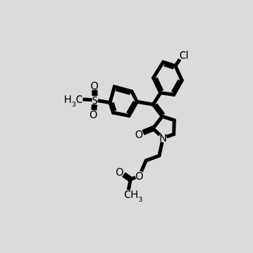 CC(=O)OCCN1CCC(=C(c2ccc(Cl)cc2)c2ccc(S(C)(=O)=O)cc2)C1=O